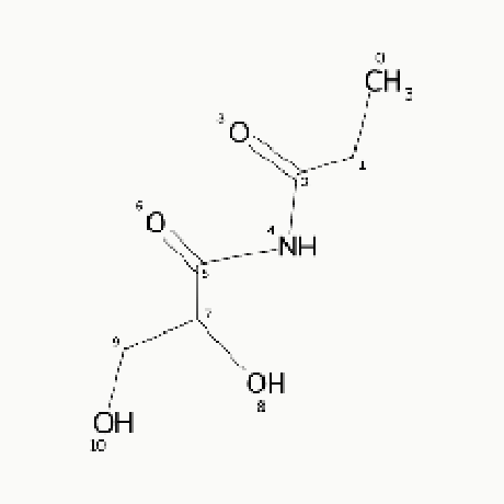 CCC(=O)NC(=O)C(O)CO